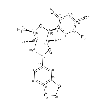 C[C@H]1O[C@@H](n2cc(F)c(=O)[nH]c2=O)[C@@H]2OC(c3ccc4c(c3)OCO4)O[C@@H]21